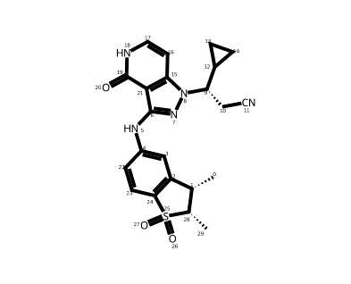 C[C@H]1c2cc(Nc3nn([C@@H](CC#N)C4CC4)c4cc[nH]c(=O)c34)ccc2S(=O)(=O)[C@H]1C